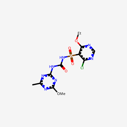 CCOc1ncnc(Cl)c1S(=O)(=O)NC(=O)Nc1nc(C)nc(OC)n1